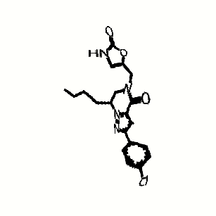 CCCCC1CN(CC2CNC(=O)O2)C(=O)c2cc(-c3ccc(Cl)cc3)nn21